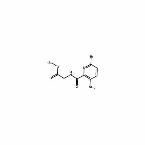 CC(C)(C)OC(=O)CNC(=O)c1nc(Br)ccc1N